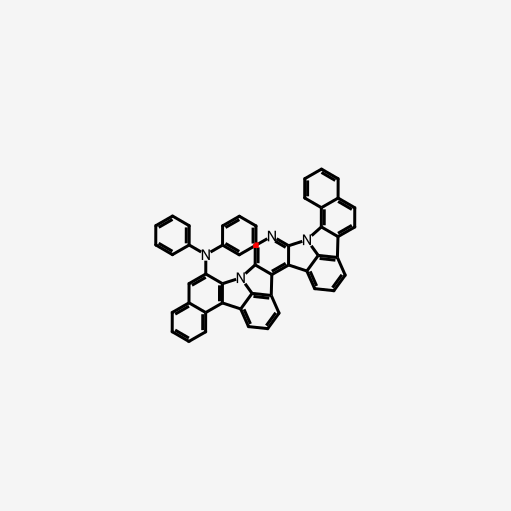 c1ccc(N(c2ccccc2)c2cc3ccccc3c3c4cccc5c6c7c8cccc9c%10ccc%11ccccc%11c%10n(c7ncc6n(c23)c54)c98)cc1